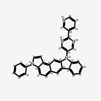 c1ccc(-n2ccc3c4cc5c(cc4ccc32)c2ccccc2n5-c2cnc(-c3cccnc3)nc2)cc1